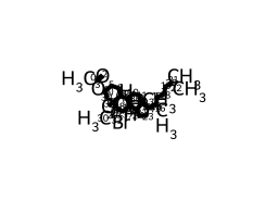 CC(=O)O[C@H]1CC[C@]2(C)[C@H]3CC[C@]4(C)[C@@H]([C@H](C)CCCC(C)C)CC[C@H]4[C@@H]3C[C@@]3(C(C)Br)O[C@@]32C1